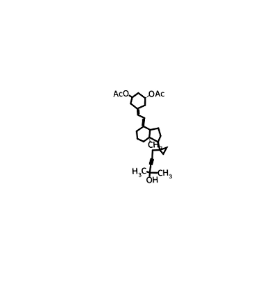 CC(=O)OC1C/C(=C/C=C2\CCC[C@@]3(C)C2CCC3C2(CC#CC(C)(C)O)CC2)C[C@@H](OC(C)=O)C1